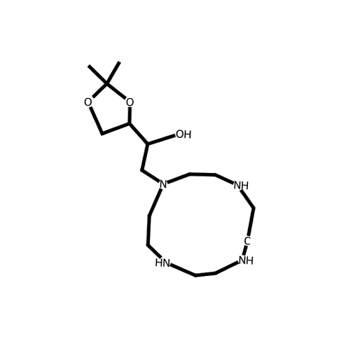 CC1(C)OCC(C(O)CN2CCNCCNCCNCC2)O1